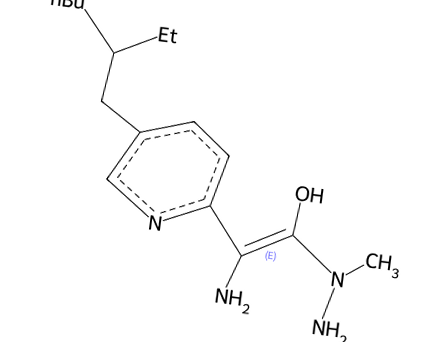 CCCCC(CC)Cc1ccc(/C(N)=C(\O)N(C)N)nc1